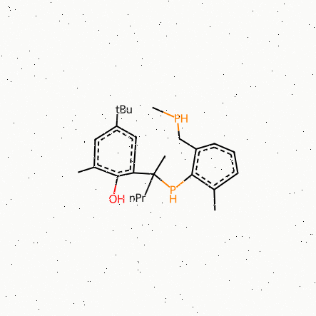 CCCC(C)(Pc1c(C)cccc1CPC)c1cc(C(C)(C)C)cc(C)c1O